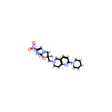 C[C@]1(CN2CCc3nc(N4CCCCC4)ccc3C2)Cn2cc([N+](=O)[O-])nc2O1